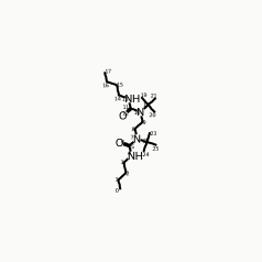 CCCCNC(=O)N(CCN(C(=O)NCCCC)C(C)(C)C)C(C)(C)C